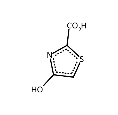 O=C(O)c1nc(O)cs1